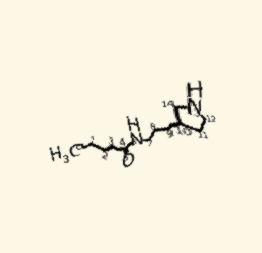 CCCCC(=O)NCCCC1CCNC1